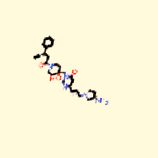 C#C[C@H](CC(=O)N1CCC(O)(Cn2cnc(/C=C/CN3CC[C@H](N)C3)cc2=O)CC1)c1ccccc1